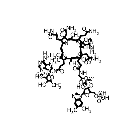 C/C1=C2N=C(/C=C3N=C(/C(C)=C4\[N-]C(C(CC(N)=O)C4(C)CCC(=O)NCC(C)OP(=O)([O-])OC4C(COP(=O)(O)O)OC(n5cnc6cc(C)c(C)cc65)C4O)C4(C)N=C1C(CCC(N)=O)C4(C)CC(N)=O)C(CCC(N)=O)C\3(C)C)C(CCC(N)=O)C/2(C)CC(N)=O.[CH2-]C1OC(n2cnc3c(N)ncnc32)C(O)C1O.[Co+3]